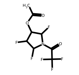 CC(=O)OC1C(F)C(F)N(C(=O)C(F)(F)F)C1F